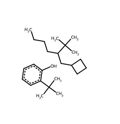 CC(C)(C)c1ccccc1O.CCCCC(CC1CCC1)C(C)(C)C